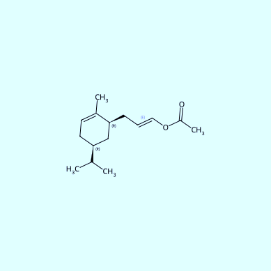 CC(=O)O/C=C/C[C@H]1C[C@@H](C(C)C)CC=C1C